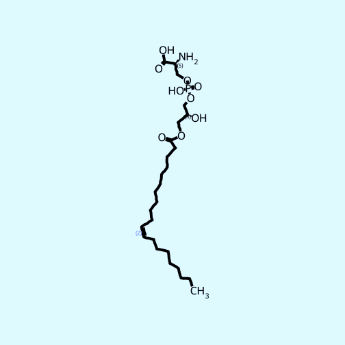 CCCCCCCC/C=C\CCCCCCCCCC(=O)OC[C@@H](O)COP(=O)(O)OC[C@H](N)C(=O)O